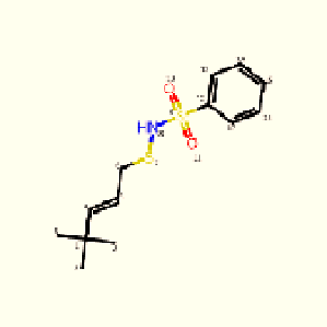 CC(C)(C)C=CCSNS(=O)(=O)c1ccccc1